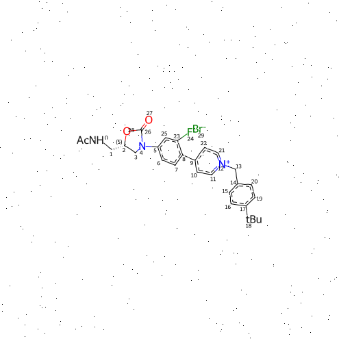 CC(=O)NC[C@H]1CN(c2ccc(-c3cc[n+](Cc4ccc(C(C)(C)C)cc4)cc3)c(F)c2)C(=O)O1.[Br-]